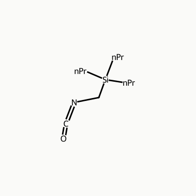 CCC[Si](CCC)(CCC)CN=C=O